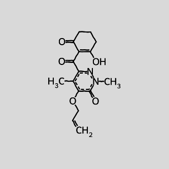 C=CCOc1c(C)c(C(=O)C2=C(O)CCCC2=O)nn(C)c1=O